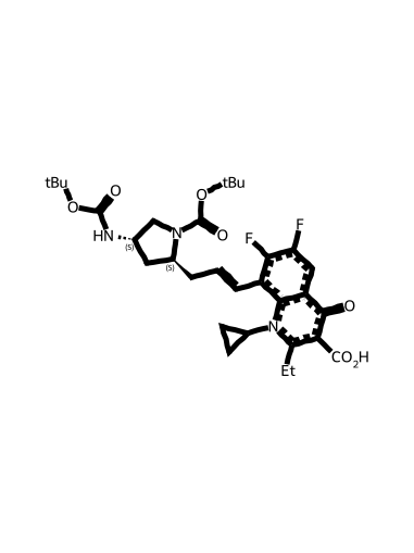 CCc1c(C(=O)O)c(=O)c2cc(F)c(F)c(C=CC[C@H]3C[C@H](NC(=O)OC(C)(C)C)CN3C(=O)OC(C)(C)C)c2n1C1CC1